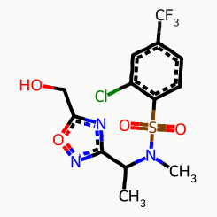 CC(c1noc(CO)n1)N(C)S(=O)(=O)c1ccc(C(F)(F)F)cc1Cl